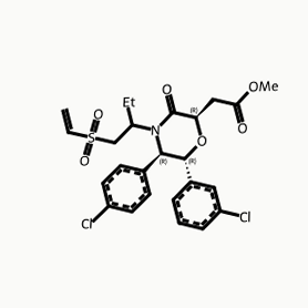 C=CS(=O)(=O)CC(CC)N1C(=O)[C@@H](CC(=O)OC)O[C@H](c2cccc(Cl)c2)[C@H]1c1ccc(Cl)cc1